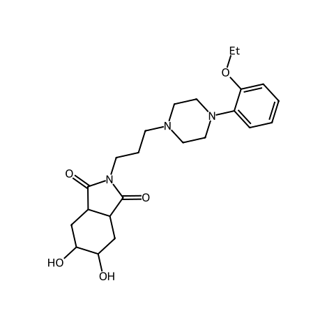 CCOc1ccccc1N1CCN(CCCN2C(=O)C3CC(O)C(O)CC3C2=O)CC1